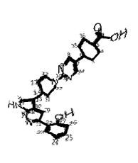 O=C(O)C1CCC(c2cnc(N3CCC(c4c[nH]c5nnc(-c6ccccc6O)cc45)CC3)nc2)CC1